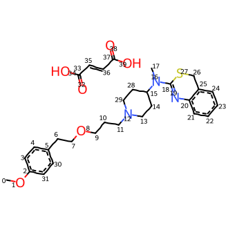 COc1ccc(CCOCCCN2CCC(N(C)C3=Nc4ccccc4CS3)CC2)cc1.O=C(O)/C=C/C(=O)O